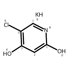 Oc1cc(O)c(Cl)cn1.[KH]